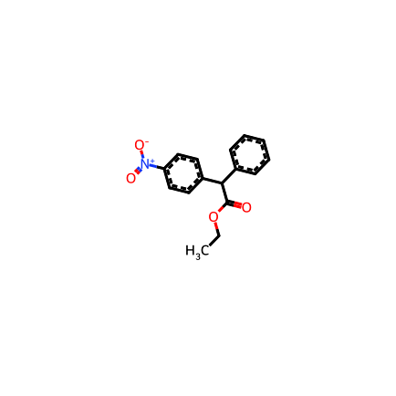 CCOC(=O)C(c1ccccc1)c1ccc([N+](=O)[O-])cc1